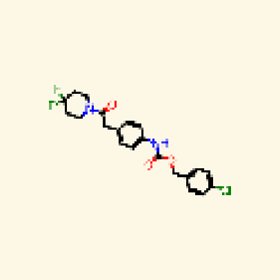 O=C(Nc1ccc(CC(=O)N2CCC(F)(F)CC2)cc1)OCc1ccc(Cl)cc1